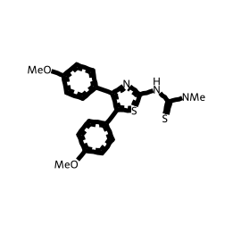 CNC(=S)Nc1nc(-c2ccc(OC)cc2)c(-c2ccc(OC)cc2)s1